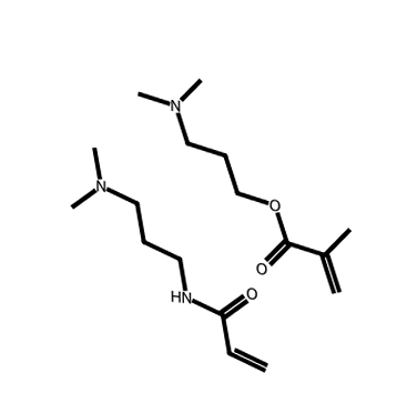 C=C(C)C(=O)OCCCN(C)C.C=CC(=O)NCCCN(C)C